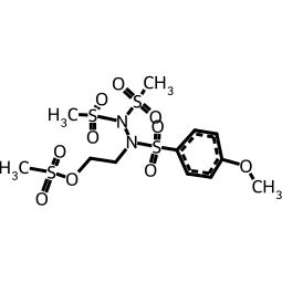 COc1ccc(S(=O)(=O)N(CCOS(C)(=O)=O)N(S(C)(=O)=O)S(C)(=O)=O)cc1